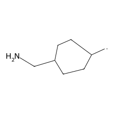 [CH2]C1CCC(CN)CC1